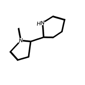 CN1CCCC1C1CCCCN1